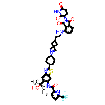 CC(C)(O)c1cc2nc(C3CCC(N4CC5(CC(CCNc6cccc7c6C(=O)N(C6CCC(=O)NC6=O)C7=O)C5)C4)CC3)sc2cc1NC(=O)c1cccc(C(F)(F)F)n1